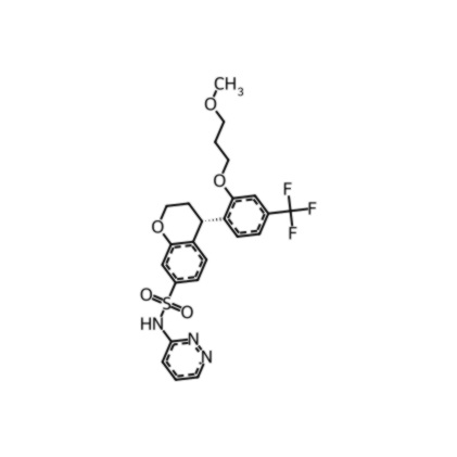 COCCCOc1cc(C(F)(F)F)ccc1[C@H]1CCOc2cc(S(=O)(=O)Nc3cccnn3)ccc21